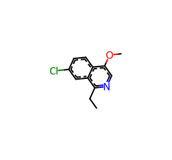 CCc1ncc(OC)c2ccc(Cl)cc12